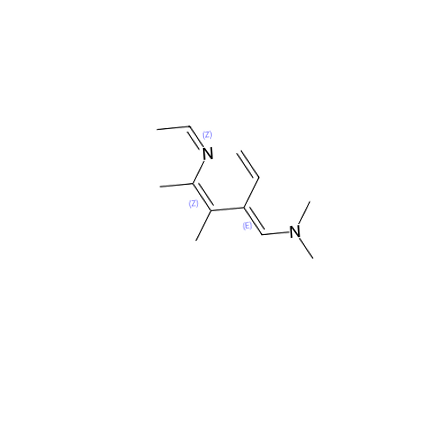 C=CC(=C\N(C)C)/C(C)=C(C)\N=C/C